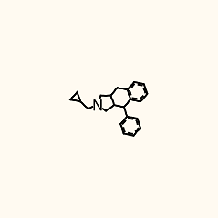 c1ccc(C2c3ccccc3CC3CN(CC4CC4)CC32)cc1